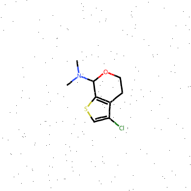 CN(C)C1OCCc2c(Cl)csc21